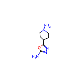 Nc1nnc(C2CCN(N)CC2)o1